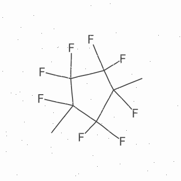 CC1(F)C(F)(F)C(C)(F)C(F)(F)C1(F)F